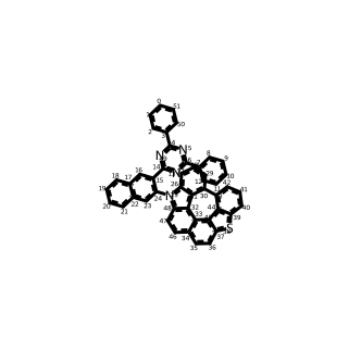 c1ccc(-c2nc(-c3ccccc3)nc(-c3cc4ccccc4cc3-n3c4cccc5c4c4c6c(ccc7sc8cccc-5c8c76)ccc43)n2)cc1